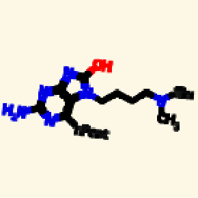 CCCCCc1nc(N)nc2nc(O)n(CCCCN(C)C(C)(C)C)c12